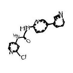 O=C(Nc1ccnc(Cl)c1)Nc1ccc(-c2cccnc2)cn1